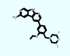 CCOc1cc(-c2cnc3[nH]c4cnc(N)cc4c3c2)ccc1CN1C[C@@H](C)O[C@@H](C)C1